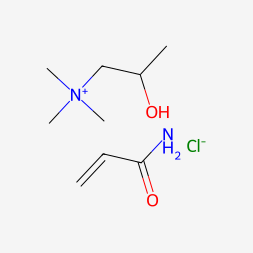 C=CC(N)=O.CC(O)C[N+](C)(C)C.[Cl-]